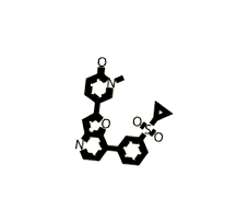 Cn1cc(-c2cc3nccc(-c4cccc(S(=O)(=O)C5CC5)c4)c3o2)ccc1=O